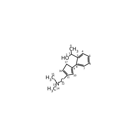 CC(O)c1ccccc1C1=CC(CN(C)C)=CC1